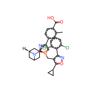 Cc1cc(-c2csc(N3C4C[C@@H](OCc5c(-c6c(Cl)cccc6Cl)noc5C5CC5)C[C@H]3C4)n2)ccc1C(=O)O